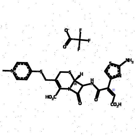 C[n+]1ccc(SCC2=C(C(=O)O)N3C(=O)C(NC(=O)/C(=C\C(=O)O)c4csc(N)n4)[C@H]3SC2)cc1.O=C([O-])C(F)(F)F